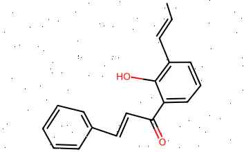 CC=Cc1cccc(C(=O)C=Cc2ccccc2)c1O